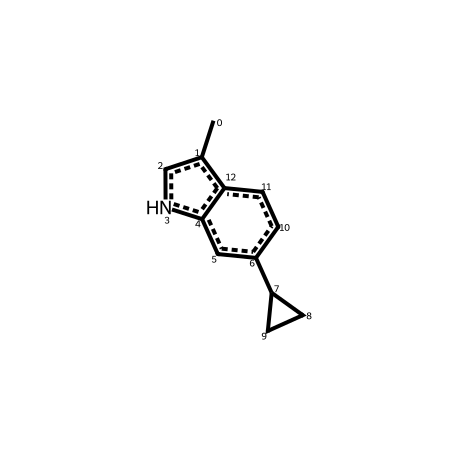 Cc1c[nH]c2cc(C3CC3)ccc12